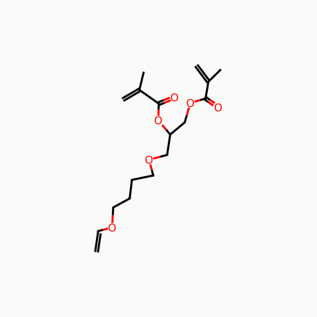 C=COCCCCOCC(COC(=O)C(=C)C)OC(=O)C(=C)C